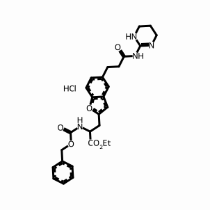 CCOC(=O)C(Cc1cc2cc(CCC(=O)NC3=NCCCN3)ccc2o1)NC(=O)OCc1ccccc1.Cl